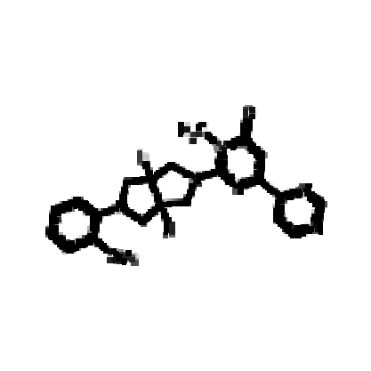 COc1ccccc1N1C[C@@H]2CN(c3nc(-c4ccncn4)cc(=O)n3C)C[C@@H]2C1